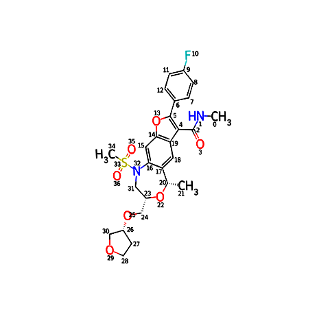 CNC(=O)c1c(-c2ccc(F)cc2)oc2cc3c(cc12)[C@H](C)O[C@H](CO[C@@H]1CCOC1)CN3S(C)(=O)=O